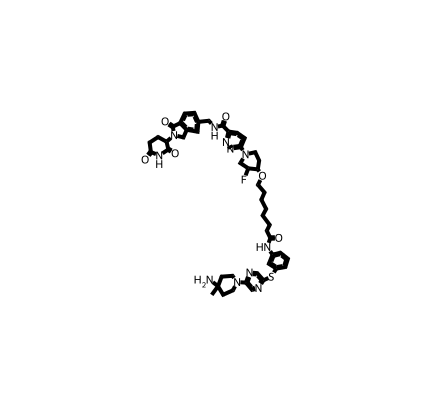 CC1(N)CCN(c2cnc(Sc3cccc(NC(=O)CCCCCCCOC4CCN(c5ccc(C(=O)NCc6ccc7c(c6)CN(C6CCC(=O)NC6=O)C7=O)nn5)CC4F)c3)cn2)CC1